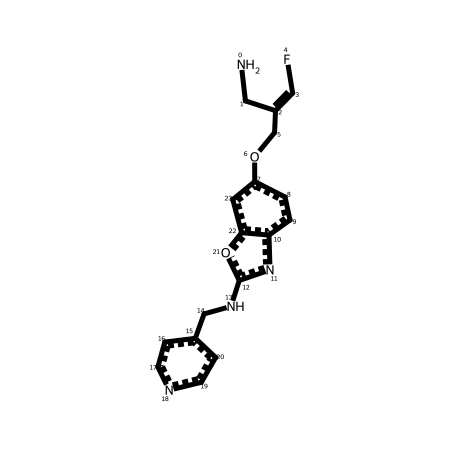 NC/C(=C\F)COc1ccc2nc(NCc3ccncc3)oc2c1